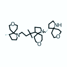 C[C@H]1CCN(CCC(C)(C)C2CCN(C[C@@H]3CCNC34CCOCC4)C23CCOCC3)C12CCOCC2